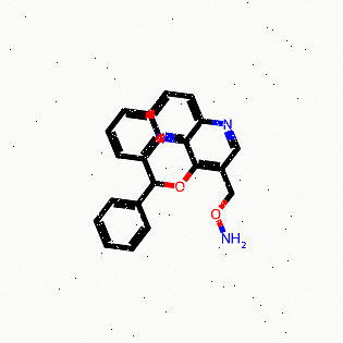 NOCc1cnc2cccnc2c1OC(c1ccccc1)c1ccccc1